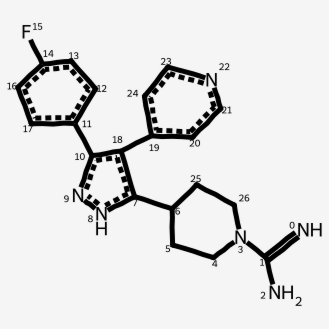 N=C(N)N1CCC(c2[nH]nc(-c3ccc(F)cc3)c2-c2ccncc2)CC1